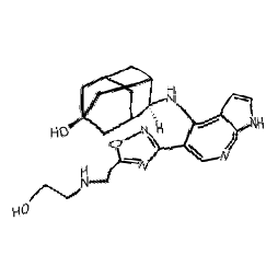 OCCNCc1nc(-c2cnc3[nH]ccc3c2N[C@H]2C3CC4CC2C[C@@](O)(C4)C3)no1